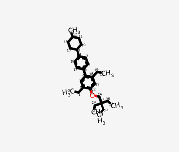 CCc1cc(-c2ccc(C3CCC(C)CC3)cc2)c(CC)cc1OCC(CC)(CC)CC